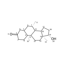 C[C@H]1CC2CC(=O)CC[C@]2(C)C2CC[C@@]3(C)C(CC[C@@H]3O)C21